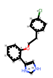 Clc1ccc(CCOc2ccccc2C2=CNCN2)cc1